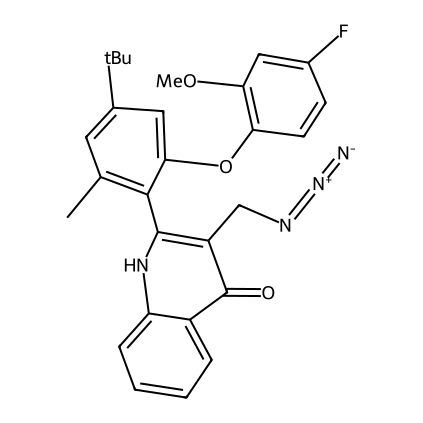 COc1cc(F)ccc1Oc1cc(C(C)(C)C)cc(C)c1-c1[nH]c2ccccc2c(=O)c1CN=[N+]=[N-]